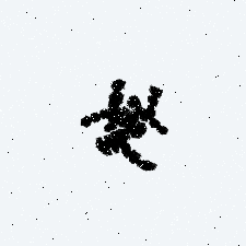 C1=CCCC(c2ccc(-c3ccc4c(c3)c3cc(N(c5ccccc5)c5cc(N(c6ccccc6)c6ccc7c(c6)c6cc(-c8ccc(-c9ccccc9)cc8)ccc6n7-c6ccc(-c7ccccc7)cc6)cc(N(c6ccccc6)c6ccc7c(c6)c6cc(-c8ccc(-c9ccccc9)cc8)ccc6n7-c6ccc(-c7ccccc7)cc6)c5)ccc3n4-c3ccc(-c4ccccc4)cc3)cc2)=C1